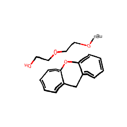 CCCCOCCOCCO.c1ccc2c(c1)Cc1ccccc1O2